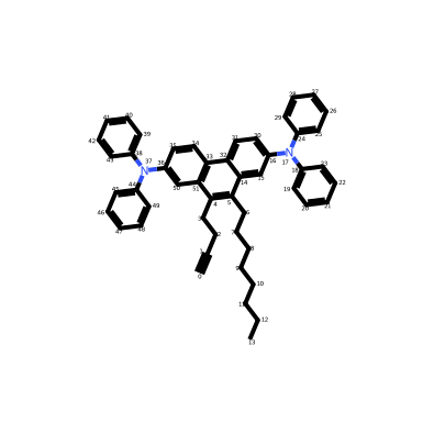 C#CCCc1c(CCCCCCCC)c2cc(N(c3ccccc3)c3ccccc3)ccc2c2ccc(N(c3ccccc3)c3ccccc3)cc12